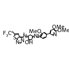 COc1cc(-c2cnc(OC)c(OC)c2)ccc1CN[C@H]1C[C@@H](O)[C@@H](N(C)c2ncnc3sc(CC(F)(F)F)cc23)C1